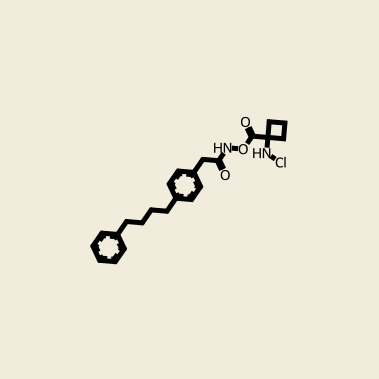 O=C(Cc1ccc(CCCCc2ccccc2)cc1)NOC(=O)C1(NCl)CCC1